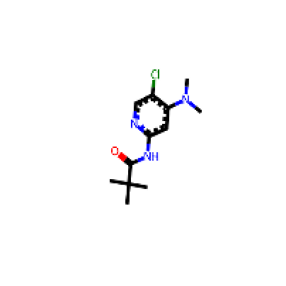 CN(C)c1cc(NC(=O)C(C)(C)C)ncc1Cl